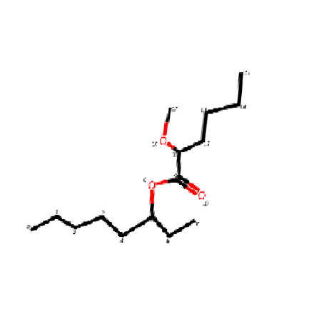 CCCCCC(CC)OC(=O)C(CCCC)OC